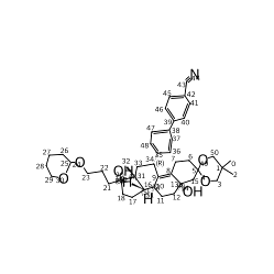 CC1(C)COC2(CCC3=C4[C@@H](CC[C@@]3(O)C2)[C@@H]2CC[C@](O)(CCCOC3CCCCO3)[C@]2(C)C[C@@H]4c2ccc(-c3ccc(C#N)cc3)cc2)OC1